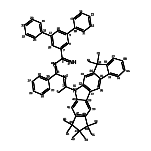 C/C(=N\C(=N/C(=N)c1cc(-c2ccccc2)cc(-c2ccccc2)c1)c1ccccc1)n1c2cc3c(cc2c2cc4c(cc21)C(C)(C)C(C)(C)C4(C)C)-c1ccccc1C3(C)C